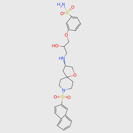 NS(=O)(=O)c1cccc(OCC(O)CN[C@H]2COC3(CCN(S(=O)(=O)c4ccc5ccccc5c4)CC3)C2)c1